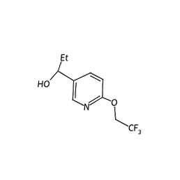 CCC(O)c1ccc(OCC(F)(F)F)nc1